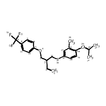 CCC(COc1ccc(C(F)(F)F)cc1)CSc1ccc(OC(C)C)c(C)c1